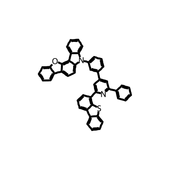 c1ccc(-c2cc(-c3cccc(-n4c5ccccc5c5c6oc7ccccc7c6ccc54)c3)cc(-c3cccc4c3sc3ccccc34)n2)cc1